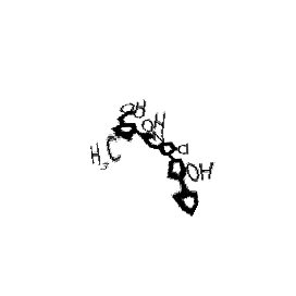 Cc1cc(CC(=O)O)cc(-c2cc3cc(-c4ccc(-c5ccccc5)c(O)c4)c(Cl)cc3[nH]c2=O)c1